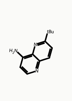 CC(C)(C)c1ccc2nccc(N)c2n1